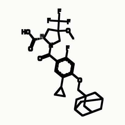 COC1(C(F)(F)F)C[C@@H](C(=O)O)N(C(=O)c2cc(C3CC3)c(OCC34CC5CC(CC(C5)C3)C4)cc2F)C1